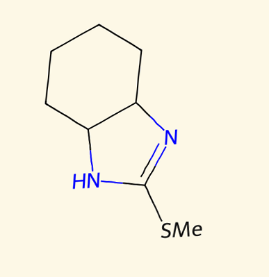 CSC1=NC2CCCCC2N1